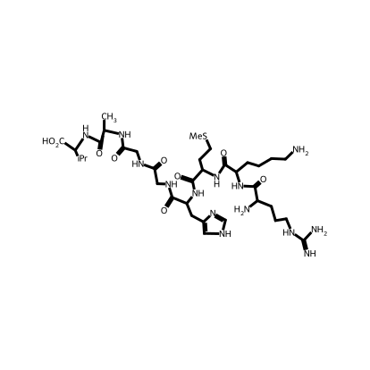 CSCCC(NC(=O)C(CCCCN)NC(=O)C(N)CCCNC(=N)N)C(=O)NC(Cc1c[nH]cn1)C(=O)NCC(=O)NCC(=O)NC(C)C(=O)NC(C(=O)O)C(C)C